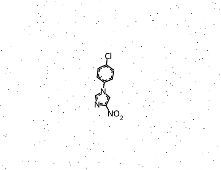 O=[N+]([O-])c1cn(-c2ccc(Cl)cc2)cn1